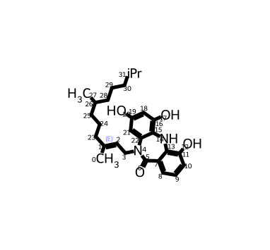 C/C(=C\CN1C(=O)c2cccc(O)c2Nc2c(O)cc(O)cc21)CCCC(C)CCCC(C)C